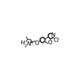 CC(C)C[C@](C)(N)COc1ccc2c(c1)COc1c-2ccnc1Cl